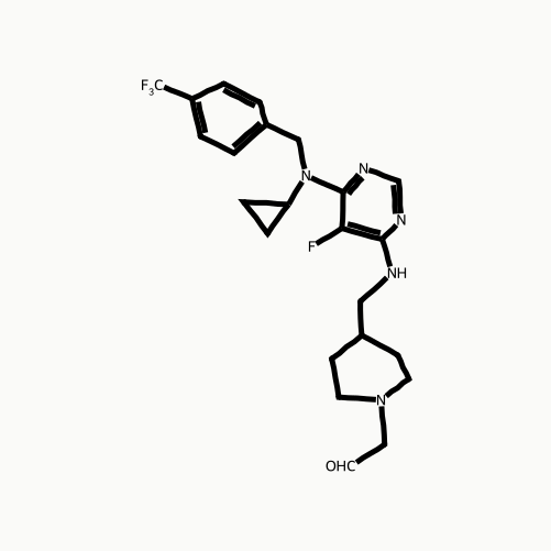 O=CCN1CCC(CNc2ncnc(N(Cc3ccc(C(F)(F)F)cc3)C3CC3)c2F)CC1